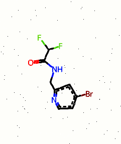 O=C(NCc1cc(Br)ccn1)C(F)F